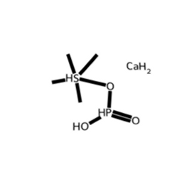 C[SH](C)(C)(C)O[PH](=O)O.[CaH2]